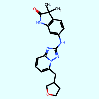 CC1(C)C(=O)Nc2cc(Nc3nc4cccc(CC5CCOC5)n4n3)ccc21